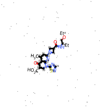 CCOC[C@H](CC)NC(=O)C1CN(c2cc(C)c3c(=O)c(C(=O)O)cn(-c4ncns4)c3n2)C1